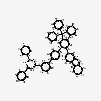 c1ccc(-c2nc(-c3ccccc3)nc(-c3cccc(-c4ccc(-c5cc6c(cc5-c5ccc7c(c5)sc5ccccc57)-c5ccccc5C6(c5ccccc5)c5ccccc5)cc4)c3)n2)cc1